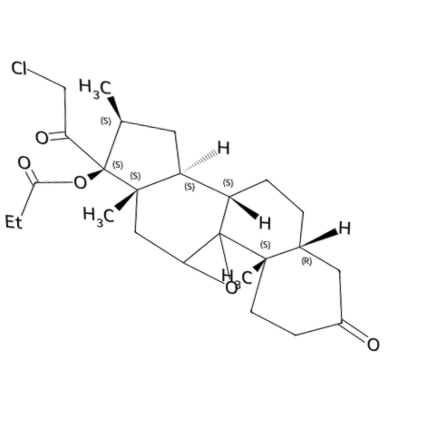 CCC(=O)O[C@@]1(C(=O)CCl)[C@@H](C)C[C@H]2[C@@H]3CC[C@@H]4CC(=O)CC[C@]4(C)C34OC4C[C@@]21C